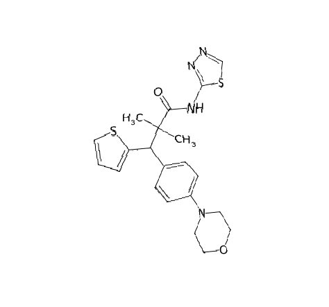 CC(C)(C(=O)Nc1nncs1)C(c1ccc(N2CCOCC2)cc1)c1cccs1